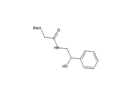 CCCC(C)CC(=O)NCC(O)c1ccccc1